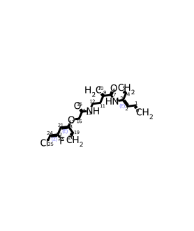 C=C/C=C(\C=C)NC(=O)C(=C)CCNC(=O)CO/C(C=C)=C/C(F)=C/Cl